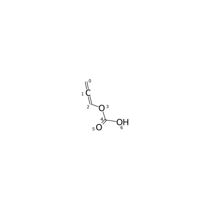 C=C=COC(=O)O